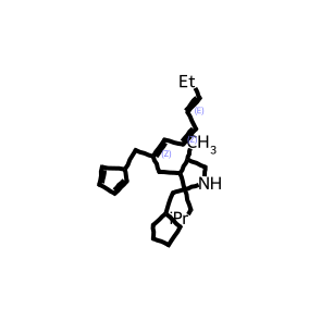 CC/C=C/C=C\C=C(\CC1C=CC=C1)CC1C(C)CNC1(CC(C)C)CC1CCCC1